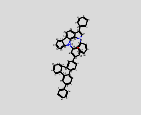 c1ccc(-c2ccc3c4ccc(-c5cccc(-n6c7ccccc7c7ccc8c(-c9ccccc9)cn(-c9ccccc9)c8c76)c5)cc4c4ccccc4c3c2)cc1